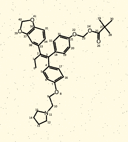 CCC(=C(c1ccc(OCCN2CCCC2)cc1)c1ccc(OCOC(=O)C(C)(C)C)cc1)c1ccc2c(c1)OCO2